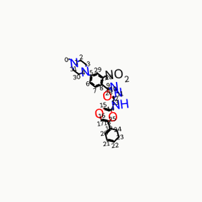 CN1CCN(c2ccc(-c3nnc(NC4=COC=C(C5=CC=CCC5)O4)o3)c([N+](=O)[O-])c2)CC1